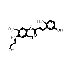 Nc1ccc(O)cc1/C=C/C(=O)Nc1cc([N+](=O)[O-])c(NCCO)cc1Cl